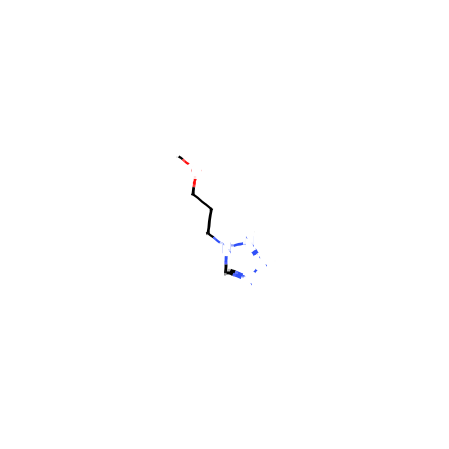 COCCCn1[c]nnn1